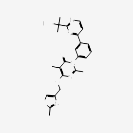 Cc1nc(COc2nc(C)n(-c3cccc(-c4ccnc(C(C)(C)O)n4)c3)c(=O)c2C)co1